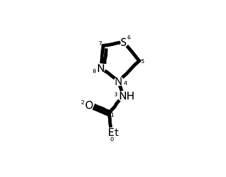 CCC(=O)NN1CSC=N1